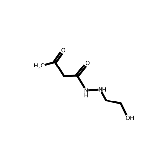 CC(=O)CC(=O)NNCCO